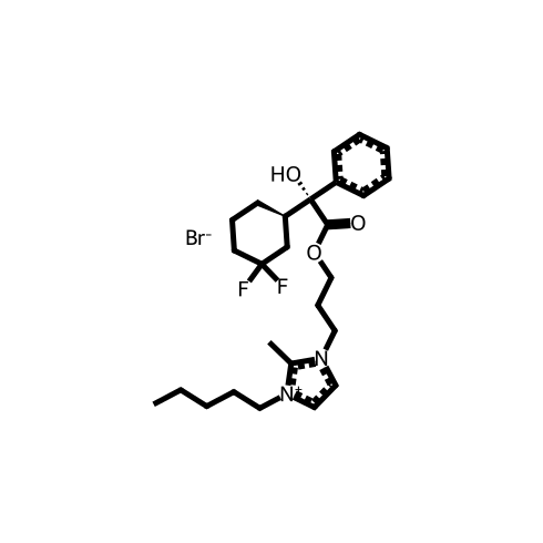 CCCCC[n+]1ccn(CCCOC(=O)[C@](O)(c2ccccc2)[C@@H]2CCCC(F)(F)C2)c1C.[Br-]